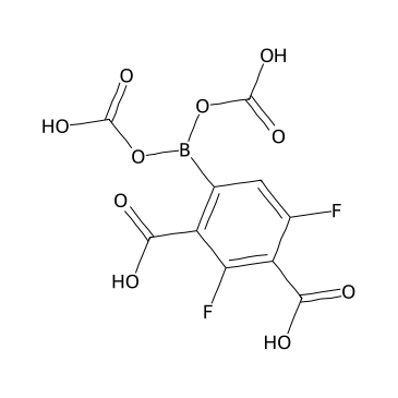 O=C(O)OB(OC(=O)O)c1cc(F)c(C(=O)O)c(F)c1C(=O)O